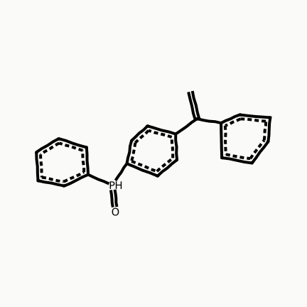 C=C(c1ccccc1)c1ccc([PH](=O)c2ccccc2)cc1